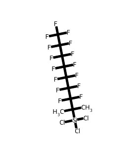 CC(C)(C(F)(F)C(F)(F)C(F)(F)C(F)(F)C(F)(F)C(F)(F)C(F)(F)F)[Si](Cl)(Cl)Cl